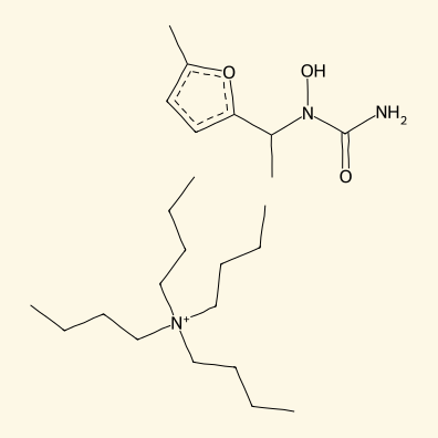 CCCC[N+](CCCC)(CCCC)CCCC.Cc1ccc(C(C)N(O)C(N)=O)o1